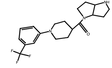 O=C(C1CCN(c2cccc(C(F)(F)F)c2)CC1)N1CCC2NCCC21